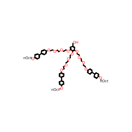 CCCCCCCCOc1ccc(-c2ccc(OCCOCCOCCOc3cc(CO)cc(OCCOCCOCCOc4ccc(-c5ccc(OCCCCCCCC)cc5)cc4)c3OCCOCCOCCOc3ccc(-c4ccc(OCCCCCCCC)cc4)cc3)cc2)cc1